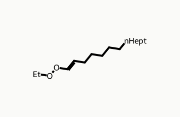 CCCCCCCCCCCCC=COOCC